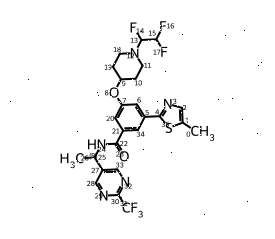 Cc1cnc(-c2cc(OC3CCN(C(F)C(F)F)CC3)cc(C(=O)N[C@H](C)c3cnc(C(F)(F)F)nc3)c2)s1